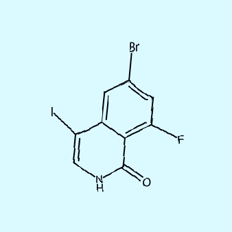 O=c1[nH]cc(I)c2cc(Br)cc(F)c12